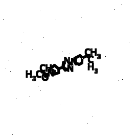 CC(C)C(=O)N1CCC(c2cnc(N3CCC(C(C)C)CC3)nc2)CC1